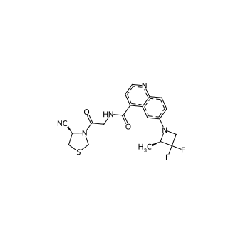 C[C@H]1N(c2ccc3nccc(C(=O)NCC(=O)N4CSC[C@H]4C#N)c3c2)CC1(F)F